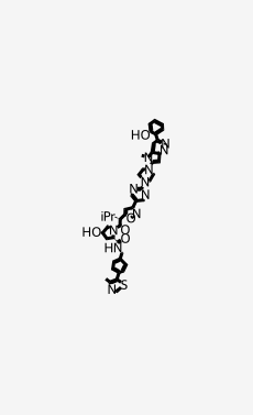 Cc1ncsc1-c1ccc(CNC(=O)[C@@H]2C[C@@H](O)CN2C(=O)[C@@H](c2cc(-c3cnc(N4CCN(c5cc6nnc(-c7ccccc7O)cc6n5C)CC4)nc3)no2)C(C)C)cc1